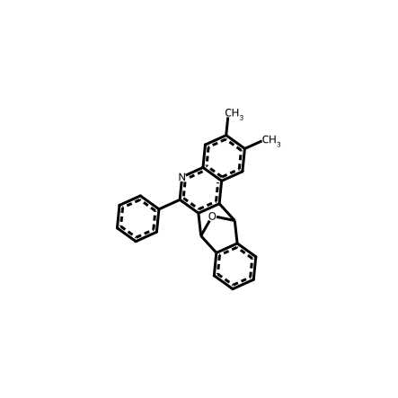 Cc1cc2nc(-c3ccccc3)c3c(c2cc1C)C1OC3c2ccccc21